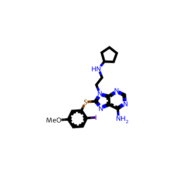 COc1ccc(I)c(Sc2nc3c(N)ncnc3n2CCNC2CCCC2)c1